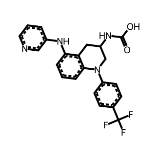 O=C(O)NC1Cc2c(Nc3cccnc3)cccc2N(c2ccc(C(F)(F)F)cc2)C1